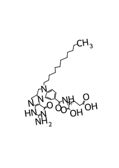 CCCCCCCCCCCCN(Cc1cnc2[nH]c(N)nc(=O)c2n1)c1ccc(C(=O)N[C@@H](CCC(=O)O)C(=O)O)cc1